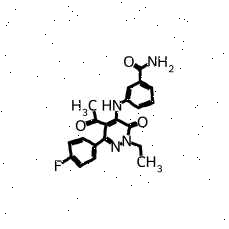 CCn1nc(-c2ccc(F)cc2)c(C(C)=O)c(Nc2cccc(C(N)=O)c2)c1=O